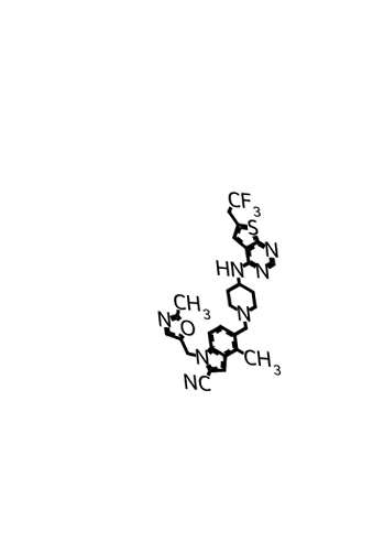 Cc1ncc(Cn2c(C#N)cc3c(C)c(CN4CCC(Nc5ncnc6sc(CC(F)(F)F)cc56)CC4)ccc32)o1